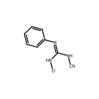 N#CNC(=Nc1ccccc1)NCl